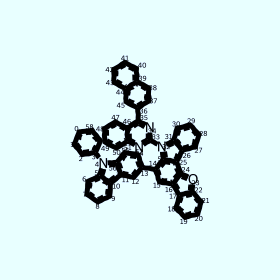 c1ccc(-n2c3ccccc3c3cc(-c4cc5c6ccccc6oc5c5c6ccccc6n(-c6nc(-c7ccc8ccccc8c7)c7ccccc7n6)c45)ccc32)cc1